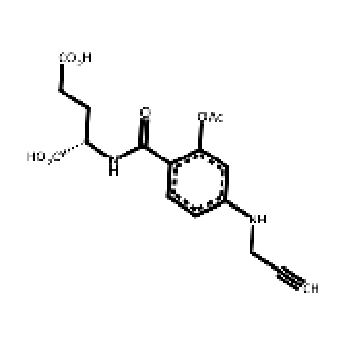 C#CCNc1ccc(C(=O)N[C@@H](CCC(=O)O)C(=O)O)c(OC(C)=O)c1